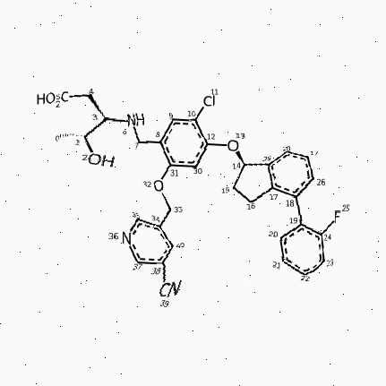 C[C@@H](O)[C@@H](CC(=O)O)NCc1cc(Cl)c(O[C@@H]2CCc3c(-c4ccccc4F)cccc32)cc1OCc1cncc(C#N)c1